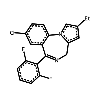 CCc1cc2n(c1)-c1ccc(Cl)cc1C(c1c(F)cccc1F)=NC2